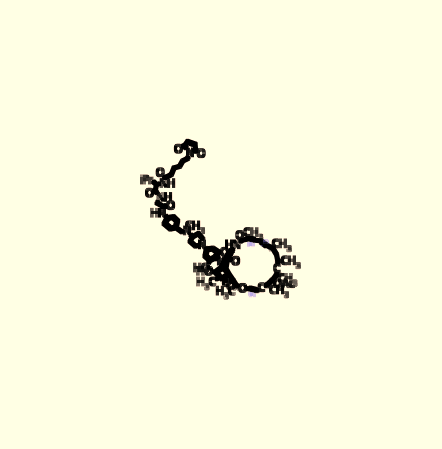 CC(=O)O[C@@H]1[C@H](C)C/C=C/O[C@@]2(C)Oc3c(C)c(O)c4c(=O)c(c5oc6cc(N7CCC(N(C)Cc8ccc(NC(=O)CNC(=O)C(NC(=O)CCCCCN9C(=O)C=CC9=O)C(C)C)cc8)CC7)cc(O)c6nc-5c4c3C2=O)NC(=O)/C(C)=C\C=C\[C@H](C)C[C@@H](C)C[C@H]1C